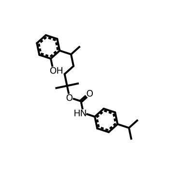 CC(C)c1ccc(NC(=O)OC(C)(C)CCC(C)c2ccccc2O)cc1